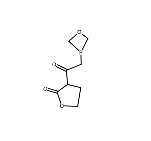 O=C(CP1COC1)C1CCOC1=O